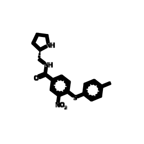 Cc1ccc(Sc2ccc(C(=O)NC[C@@H]3CCCN3)cc2[N+](=O)[O-])cc1